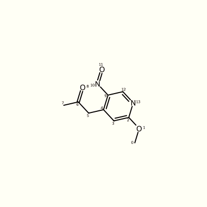 COc1cc(CC(C)=O)c(N=O)cn1